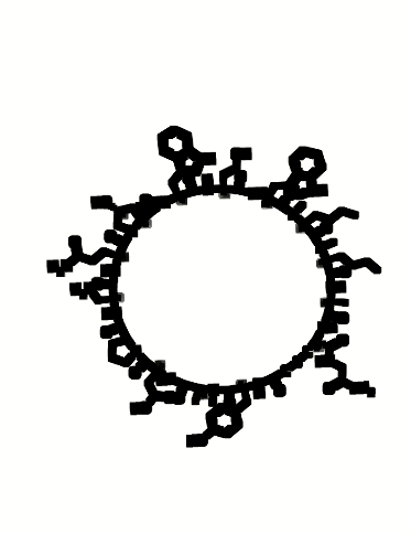 CCCC[C@H]1C(=O)N(C)[C@@H](CCCC)C(=O)N[C@@H](C)C(=O)N[C@H](C(=O)NCC(N)=O)CSCC(=O)N[C@@H](Cc2ccc(O)cc2)C(=O)N(C)[C@@H](C)C(=O)N[C@@H](CC(=O)O)C(=O)N2CCCC2C(=O)N[C@@H](CN)C(=O)N[C@@H](CCC(N)=O)C(=O)N2C[C@H](O)C[C@H]2C(=O)N[C@@H](Cc2c[nH]c3ccccc23)C(=O)N[C@@H](CCO)C(=O)N[C@@H](Cc2c[nH]c3ccccc23)C(=O)N1C